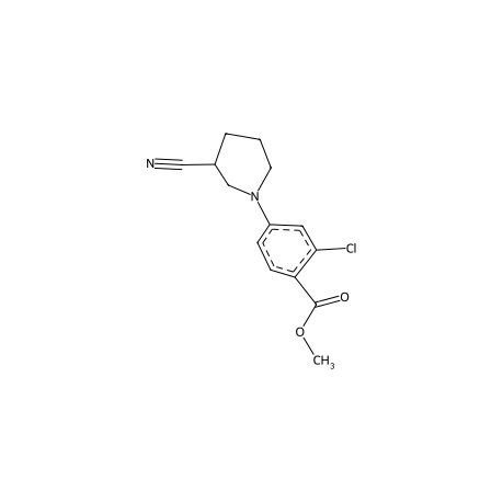 COC(=O)c1ccc(N2CCCC(C#N)C2)cc1Cl